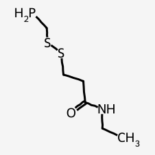 CCNC(=O)CCSSCP